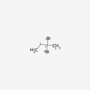 [CH2]CC(C)(Br)Br